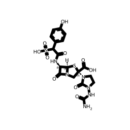 NC(=O)NN1CCN([C@]2(C(=O)O)CN3C(=O)[C@@H](NC(=O)C(c4ccc(O)cc4)S(=O)(=O)O)[C@H]3S2)C1=O